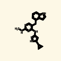 CNc1ncc(Cc2cccc3[nH]ccc23)c(Nc2cc(C3CC3)[nH]n2)n1